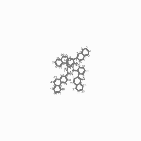 c1ccc2cc3c(cc2c1)c1ccccc1n3-c1ccc2sc3c4ccccc4ccc3c2c1-c1nc(-c2ccc3c(ccc4ccccc43)c2)nc(-c2cccc3ccccc23)n1